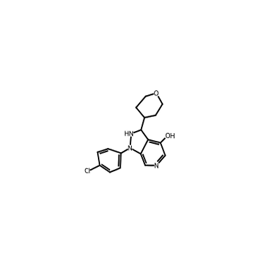 Oc1cncc2c1C(C1CCOCC1)NN2c1ccc(Cl)cc1